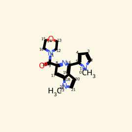 Cn1cccc1-c1nc(C(=O)N2CCOCC2)cc2c1ccn2C